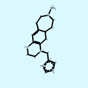 NN1CCC2=CC3=C(CC2CC1)N(Cc1cscn1)CCO3